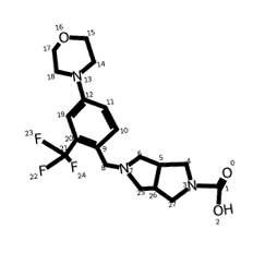 O=C(O)N1CC2CN(Cc3ccc(N4CCOCC4)cc3C(F)(F)F)CC2C1